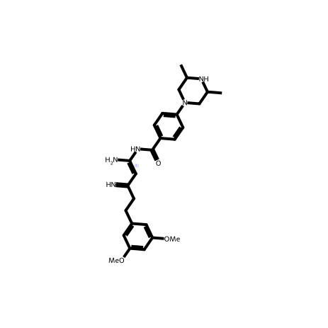 COc1cc(CCC(=N)/C=C(\N)NC(=O)c2ccc(N3CC(C)NC(C)C3)cc2)cc(OC)c1